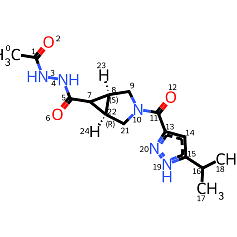 CC(=O)NNC(=O)C1[C@H]2CN(C(=O)c3cc(C(C)C)[nH]n3)C[C@@H]12